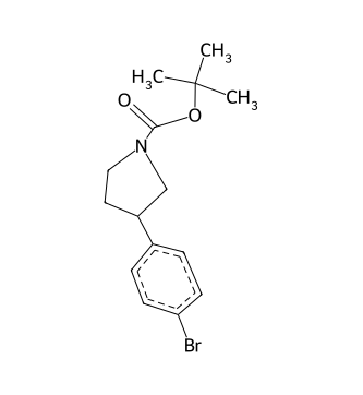 CC(C)(C)OC(=O)N1CCC(c2ccc(Br)cc2)C1